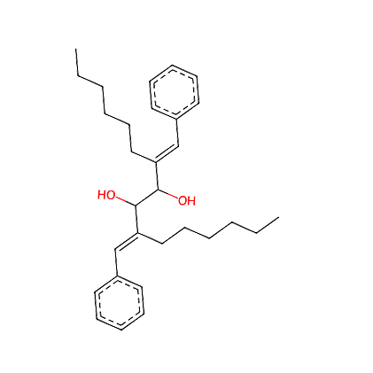 CCCCCC/C(=C\c1ccccc1)C(O)C(O)/C(=C/c1ccccc1)CCCCCC